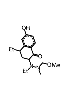 CCC1CC(N(CC)N(C)COC)C(=O)c2ccc(O)cc21